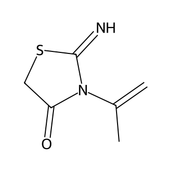 C=C(C)N1C(=N)SCC1=O